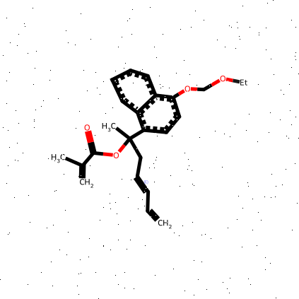 C=C/C=C/CC(C)(OC(=O)C(=C)C)c1ccc(OCOCC)c2ccccc12